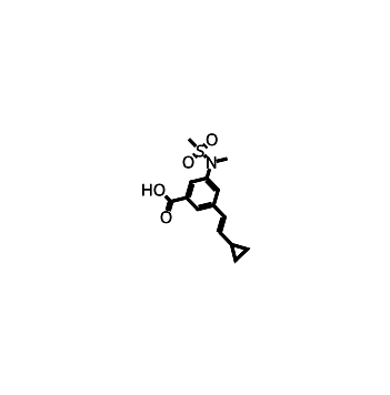 CN(c1cc(/C=C/C2CC2)cc(C(=O)O)c1)S(C)(=O)=O